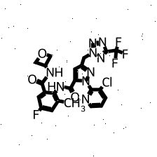 Cc1cc(F)cc(C(=O)NC2COC2)c1NC(=O)c1cc(Cn2nnc(C(F)(F)F)n2)nn1-c1ncccc1Cl